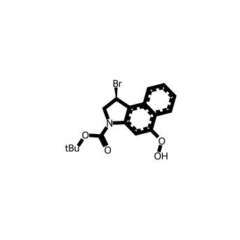 CC(C)(C)OC(=O)N1C[C@@H](Br)c2c1cc(OO)c1ccccc21